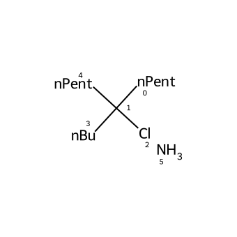 CCCCCC(Cl)(CCCC)CCCCC.N